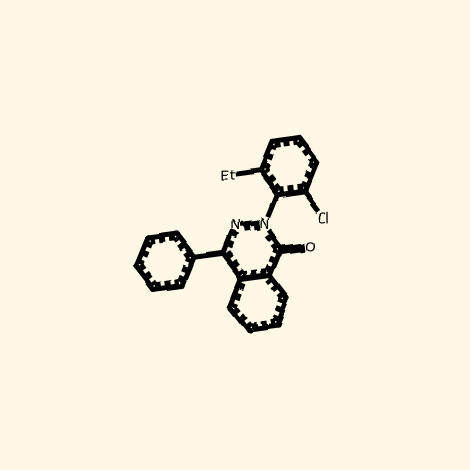 CCc1cccc(Cl)c1-n1nc(-c2ccccc2)c2ccccc2c1=O